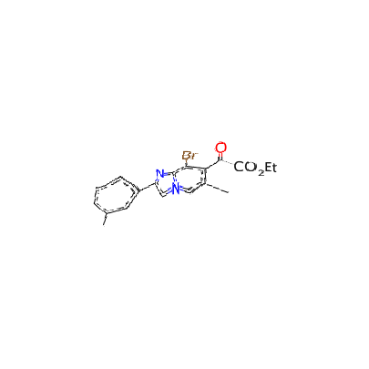 CCOC(=O)C(=O)c1c(C)cn2cc(-c3cccc(C)c3)nc2c1Br